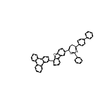 C1=C(c2ccc3oc4c(-c5ccc6c7ccccc7c7ccccc7c6c5)cccc4c3c2)N=C(c2ccccc2)N=C(c2ccc(-c3ccccc3)cc2)C1